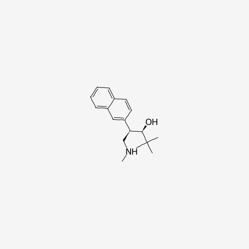 CNC[C@@H](c1ccc2ccccc2c1)[C@@H](O)C(C)(C)C